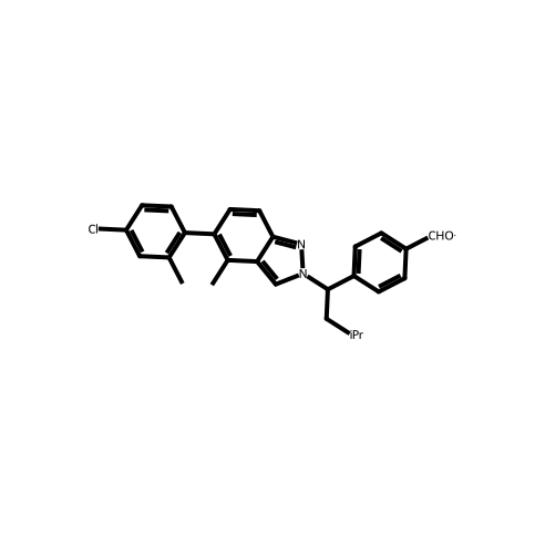 Cc1cc(Cl)ccc1-c1ccc2nn(C(CC(C)C)c3ccc([C]=O)cc3)cc2c1C